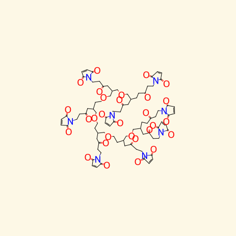 O=C(CCC(COCC(CCOCC(CCOCC(CCOCC(COCC(CCC(=O)CCN1C(=O)C=CC1=O)CC(=O)CCN1C(=O)C=CC1=O)CC(=O)CCN1C(=O)C=CC1=O)CC(=O)CCN1C(=O)C=CC1=O)CC(=O)CCN1C(=O)C=CC1=O)CC(=O)CCN1C(=O)C=CC1=O)CC(=O)CCN1C(=O)C=CC1=O)CCN1C(=O)C=CC1=O